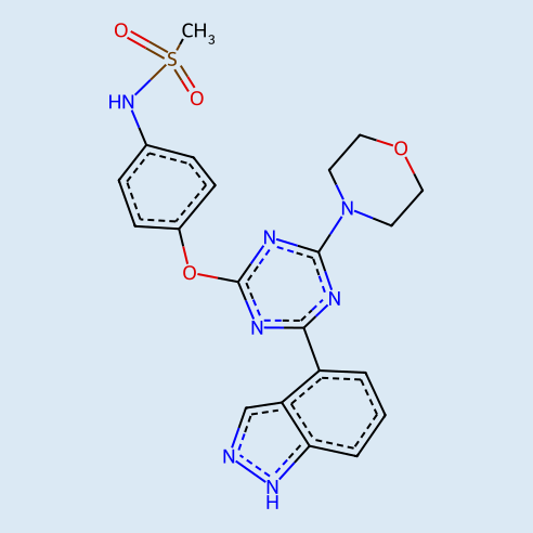 CS(=O)(=O)Nc1ccc(Oc2nc(-c3cccc4[nH]ncc34)nc(N3CCOCC3)n2)cc1